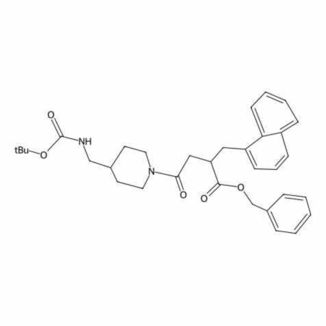 CC(C)(C)OC(=O)NCC1CCN(C(=O)CC(Cc2cccc3ccccc23)C(=O)OCc2ccccc2)CC1